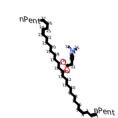 CCCCC/C=C\C/C=C\CCCCCCCCC(CCCCCCCC/C=C\C/C=C\CCCCC)OC(=O)CC#CN(C)C